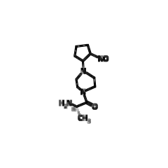 C[C@H](N)C(=O)N1CCN(C2CCCC2N=O)CC1